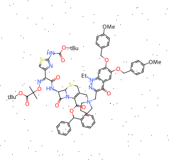 CCn1nc(C[N+]2(CC3=C(C(=O)OC(c4ccccc4)c4ccccc4)N4C(=O)[C@@H](NC(=O)/C(=N\OC(C)(C)C(=O)OC(C)(C)C)c5csc(NC(=O)OC(C)(C)C)n5)C4SC3)CCCC2)c(=O)c2cc(OCc3ccc(OC)cc3)c(OCc3ccc(OC)cc3)cc21